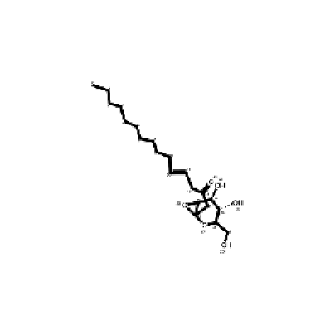 CCCCCCCCCC/C=C/CC(=O)CC12OC(CO)[C@@H](O)[C@H](O)C1O2